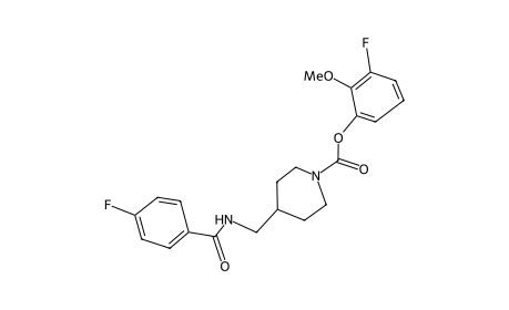 COc1c(F)cccc1OC(=O)N1CCC(CNC(=O)c2ccc(F)cc2)CC1